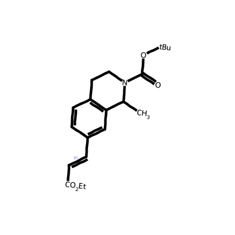 CCOC(=O)/C=C/c1ccc2c(c1)C(C)N(C(=O)OC(C)(C)C)CC2